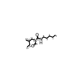 CCCCCNC(=O)N([C]=O)CC(C)CC